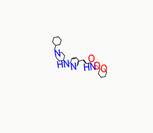 O=C(C=Cc1ccc(NC2CCN(CC3CCCCC3)CC2)nc1)NOC1CCCCO1